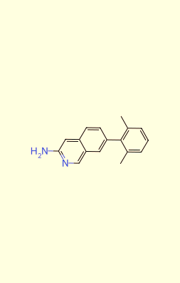 Cc1cccc(C)c1-c1ccc2cc(N)ncc2c1